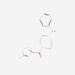 Cc1cc(C(=O)N2CCN(C(C)c3ccccc3)CC2)no1